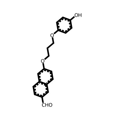 O=Cc1ccc2cc(OCCCOc3ccc(O)cc3)ccc2c1